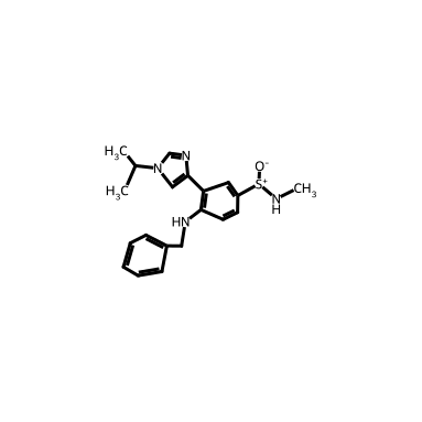 CN[S+]([O-])c1ccc(NCc2ccccc2)c(-c2cn(C(C)C)cn2)c1